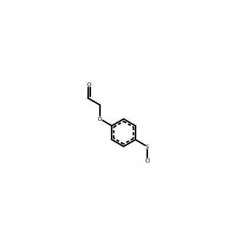 O=[C]COc1ccc(SCl)cc1